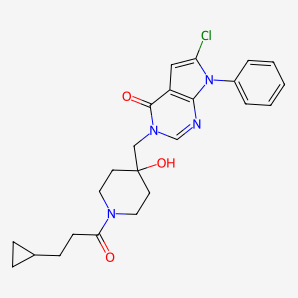 O=C(CCC1CC1)N1CCC(O)(Cn2cnc3c(cc(Cl)n3-c3ccccc3)c2=O)CC1